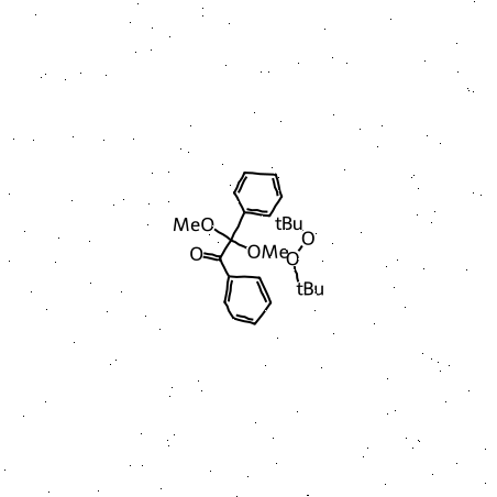 CC(C)(C)OOC(C)(C)C.COC(OC)(C(=O)c1ccccc1)c1ccccc1